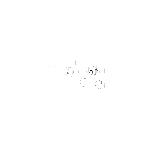 CCCCCc1c(C)n(CCCCC)c(=O)n1Cc1ccc(-c2ccncc2-c2nnn[nH]2)cc1